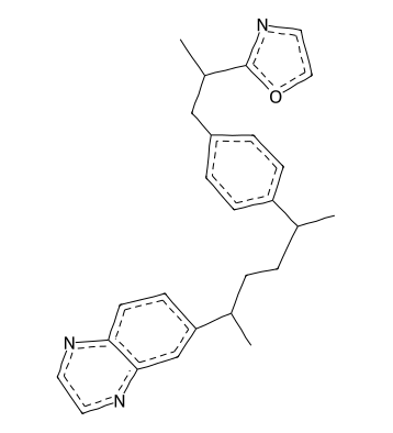 CC(CCC(C)c1ccc2nccnc2c1)c1ccc(CC(C)c2ncco2)cc1